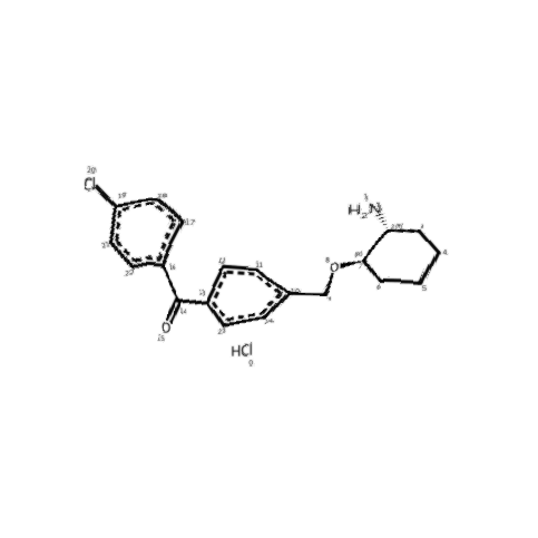 Cl.N[C@@H]1CCCC[C@H]1OCc1ccc(C(=O)c2ccc(Cl)cc2)cc1